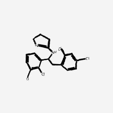 Clc1ccc(CC(NC2=NCCC2)c2cccc(Cl)c2Cl)c(Cl)c1